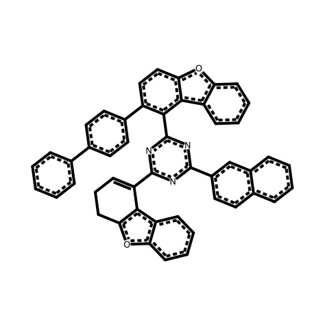 C1=C(c2nc(-c3ccc4ccccc4c3)nc(-c3c(-c4ccc(-c5ccccc5)cc4)ccc4oc5ccccc5c34)n2)c2c(oc3ccccc23)CC1